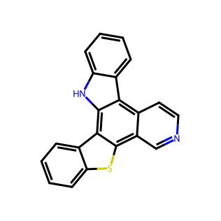 c1ccc2c(c1)[nH]c1c2c2ccncc2c2sc3ccccc3c12